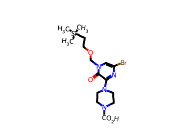 C[Si](C)(C)CCOCn1cc(Br)nc(N2CCN(C(=O)O)CC2)c1=O